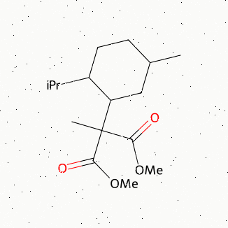 COC(=O)C(C)(C(=O)OC)C1CC(C)CCC1C(C)C